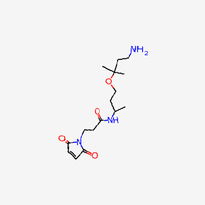 CC(CCOC(C)(C)CCN)NC(=O)CCN1C(=O)C=CC1=O